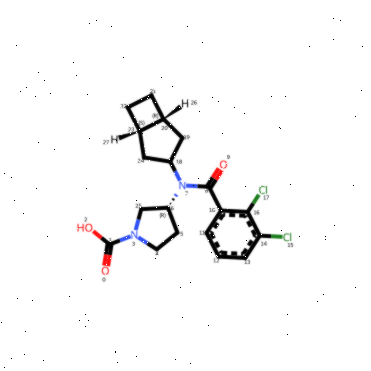 O=C(O)N1CC[C@@H](N(C(=O)c2cccc(Cl)c2Cl)C2C[C@H]3CC[C@H]3C2)C1